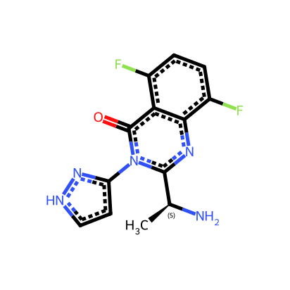 C[C@H](N)c1nc2c(F)ccc(F)c2c(=O)n1-c1cc[nH]n1